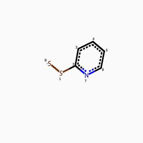 [S]Sc1ccccn1